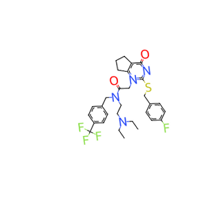 CCN(CC)CCN(Cc1ccc(C(F)(F)F)cc1)C(=O)Cn1c(SCc2ccc(F)cc2)nc(=O)c2c1CCC2